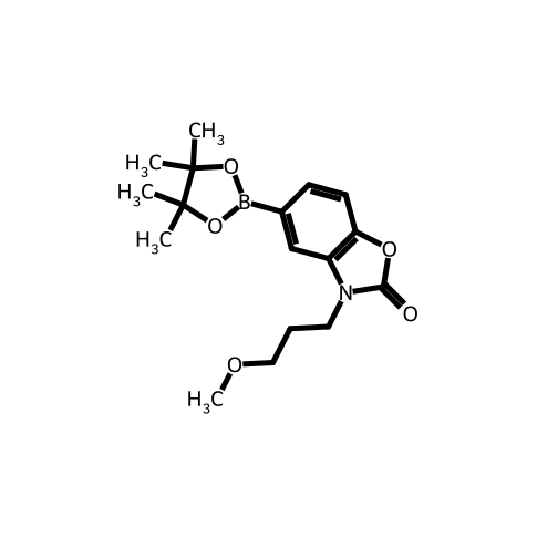 COCCCn1c(=O)oc2ccc(B3OC(C)(C)C(C)(C)O3)cc21